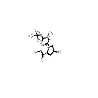 COC(=O)[C@@H]1CC(N)CN1C(=O)CN(C)C(=O)OC(C)(C)C